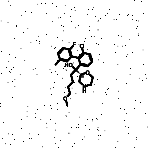 COCCCCC(O)(c1cccc(Cl)c1-c1cc(C)ccc1F)[C@H]1CNCCO1